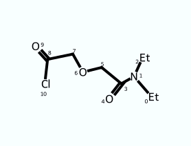 CCN(CC)C(=O)COCC(=O)Cl